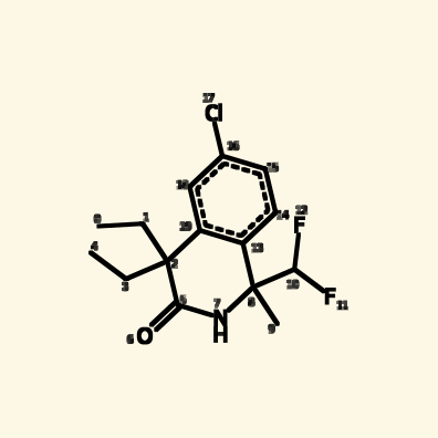 CCC1(CC)C(=O)NC(C)(C(F)F)c2ccc(Cl)cc21